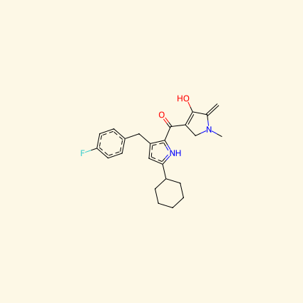 C=C1C(O)=C(C(=O)c2[nH]c(C3CCCCC3)cc2Cc2ccc(F)cc2)CN1C